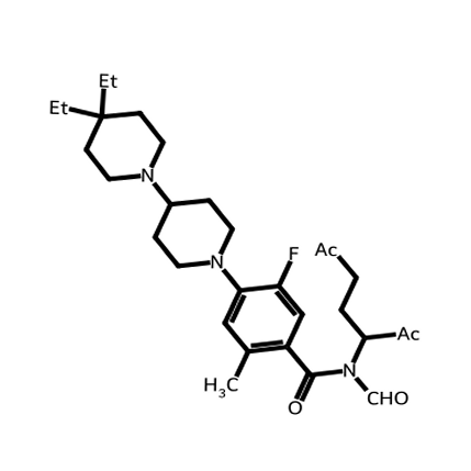 CCC1(CC)CCN(C2CCN(c3cc(C)c(C(=O)N(C=O)C(CCC(C)=O)C(C)=O)cc3F)CC2)CC1